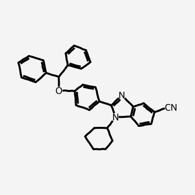 N#Cc1ccc2c(c1)nc(-c1ccc(OC(c3ccccc3)c3ccccc3)cc1)n2C1CCCCC1